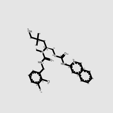 CN(C(=O)NCc1cccc(F)c1Cl)[C@H](COC(=O)Nc1cc2ccccc2cn1)CC(C)(C)CO